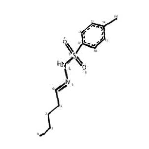 CCCCC=NNS(=O)(=O)c1ccc(C)cc1